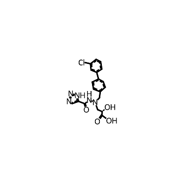 O=C(NN(Cc1ccc(-c2cccc(Cl)c2)cc1)C[C@@H](O)C(=O)O)c1cnn[nH]1